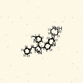 Cc1cccc(C2=C(c3ccc4ncc(N5CCCNCC5)cc4c3)N=NC2Cc2ccccc2)n1